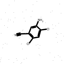 N#Cc1cc(N)c(Cl)cc1Cl